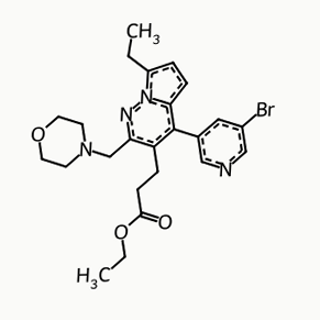 CCOC(=O)CCc1c(CN2CCOCC2)nn2c(CC)ccc2c1-c1cncc(Br)c1